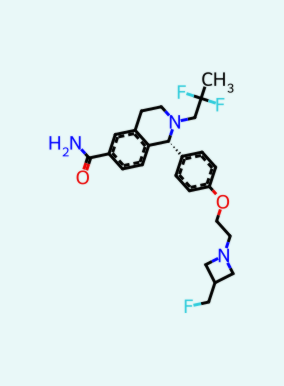 CC(F)(F)CN1CCc2cc(C(N)=O)ccc2[C@H]1c1ccc(OCCN2CC(CF)C2)cc1